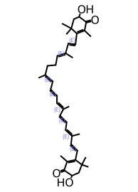 CC1=C(/C=C/C(C)=C/C=C/C(C)=C/C=C/C=C(\C)CC/C=C(C)/C=C/C2=C(C)C(=O)C(O)CC2(C)C)C(C)(C)CC(O)C1=O